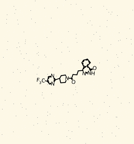 O=C(CCCc1n[nH]c(=O)c2ccccc12)N1CCC(c2ncc(C(F)(F)F)cn2)CC1